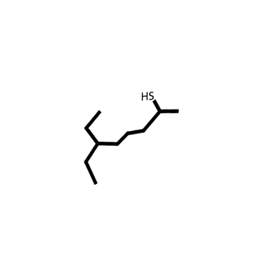 CCC(CC)CCCC(C)S